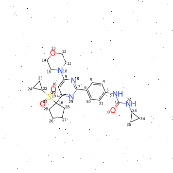 O=C(Nc1ccc(-c2nc(N3CCOCC3)cc(C3(S(=O)(=O)C4CC4)CCCC3)n2)cc1)NC1CC1